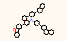 c1ccc(-c2ccc(-c3ccc4ccccc4c3)cc2N(c2ccc(-c3ccc4c(ccc5ccccc54)c3)cc2)c2ccc(-c3ccc4oc5ccccc5c4c3)cc2)cc1